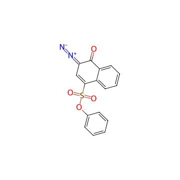 [N-]=[N+]=C1C=C(S(=O)(=O)Oc2ccccc2)c2ccccc2C1=O